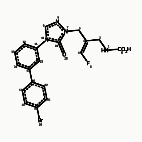 O=C(O)NCC(=CF)Cn1ncn(-c2cccc(-c3ccc(Br)cc3)c2)c1=O